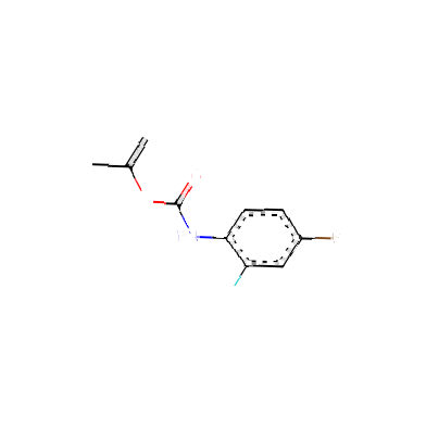 C=C(C)OC(=O)Nc1ccc(Br)cc1F